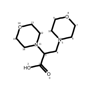 O=C(O)C(CN1CCOCC1)N1CCOCC1